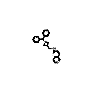 O=C(/C=C\c1cccnc1)NCC1CN(C(c2ccccc2)c2ccccc2)C1